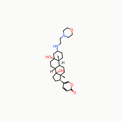 C[C@]12CC[C@H](NCCN3CCOCC3)C[C@@]1(O)CC[C@@H]1[C@@H]2CC[C@]2(C)[C@@H](c3ccc(=O)oc3)CC[C@]12O